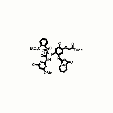 CCOC(=O)c1ccccc1S(=O)(=O)NC(=O)Nc1nc(Cl)cc(OC)n1.COC(=O)CSc1cc(/N=c2\sc(=O)n3n2CCCC3)c(F)cc1Cl